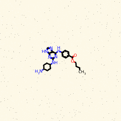 CCCCOC(=O)c1ccc(Nc2nc(NC3CCC(N)CC3)nc3[nH]cnc23)cc1